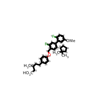 COc1ccc(F)c(-c2cc(F)c(COc3ccc(CC[C@H](C)CC(=O)O)cc3)cc2[C@@H]2CCCC2(C)C)c1